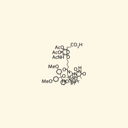 COc1ccc(C(OC[C@]2(C(O)[Si](C(C)C)(C(C)C)C(C)C)CN(C(=O)CCCCO[C@@H]3O[C@H]([CH]CC(=O)O)[C@@H](OC(C)=O)[C@H](OC(C)=O)[C@H]3NC(C)=O)C[C@H](n3cc(C)c(=O)[nH]c3=O)O2)(c2ccccc2)c2ccc(OC)cc2)cc1